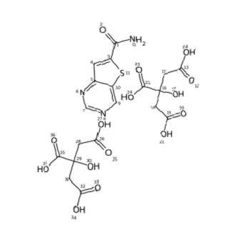 NC(=O)c1cc2ncncc2s1.O=C(O)CC(O)(CC(=O)O)C(=O)O.O=C(O)CC(O)(CC(=O)O)C(=O)O